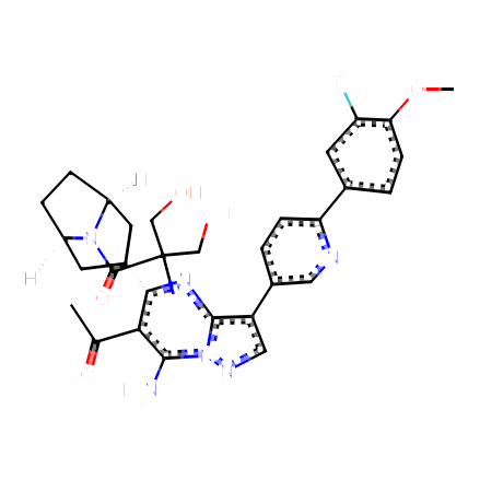 COc1ccc(-c2ccc(-c3cnn4c(N)c(C(C)=O)c([C@@H]5C[C@H]6CC[C@@H](C5)N6C(=O)C(C)(CO)CO)nc34)cn2)cc1F